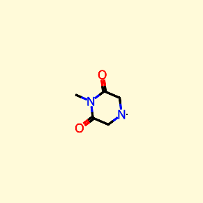 CN1C(=O)C[N]CC1=O